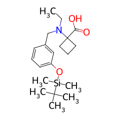 CCN(Cc1cccc(O[Si](C)(C)C(C)(C)C)c1)C1(C(=O)O)CCC1